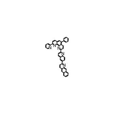 c1ccc(-c2cc3ccc(-c4ccccn4)nc3c3nc(-c4ccc5cc(-c6ccc7cc8ccccc8cc7n6)ccc5n4)ccc23)cc1